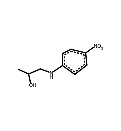 CC(O)CNc1ccc([N+](=O)[O-])cc1